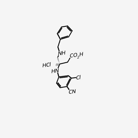 Cl.N#Cc1ccc(N[C@H](CNCc2ccccc2)CC(=O)O)cc1Cl